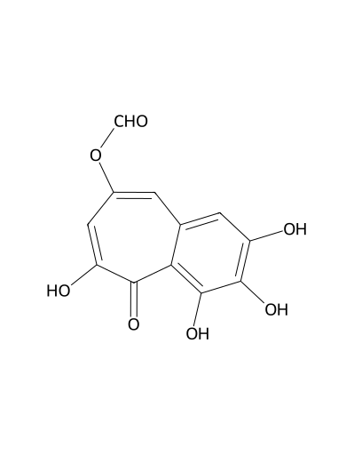 O=COc1cc(O)c(=O)c2c(O)c(O)c(O)cc2c1